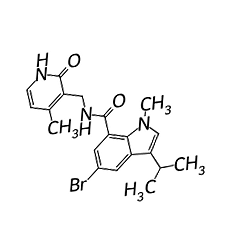 Cc1cc[nH]c(=O)c1CNC(=O)c1cc(Br)cc2c(C(C)C)cn(C)c12